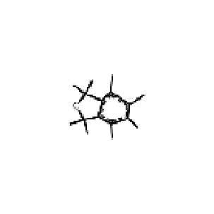 Cc1c(C)c(C)c2c(c1C)C(C)(C)OC2(C)C